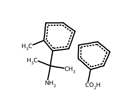 Cc1ccccc1C(C)(C)N.O=C(O)c1ccccc1